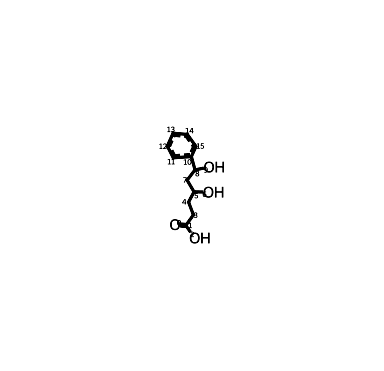 O=C(O)CCC(O)CC(O)c1ccccc1